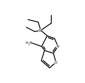 CC[Si](CC)(CC)c1cnc2occc2c1N